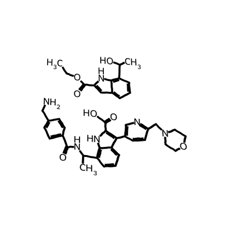 CC(NC(=O)c1ccc(CN)cc1)c1cccc2c(-c3ccc(CN4CCOCC4)nc3)c(C(=O)O)[nH]c12.CCOC(=O)c1cc2cccc(C(C)O)c2[nH]1